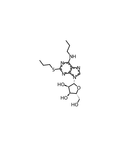 CCCNc1nc(SCCC)nc2c1ncn2[C@@H]1O[C@H](CO)[C@@H](O)[C@H]1O